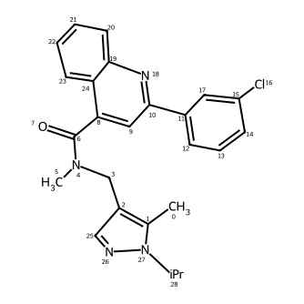 Cc1c(CN(C)C(=O)c2cc(-c3cccc(Cl)c3)nc3ccccc23)cnn1C(C)C